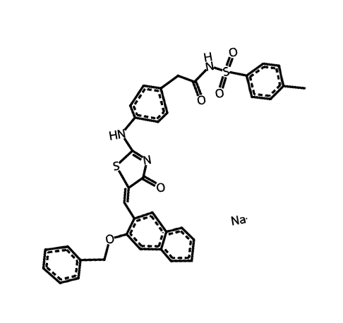 Cc1ccc(S(=O)(=O)NC(=O)Cc2ccc(NC3=NC(=O)C(=Cc4cc5ccccc5cc4OCc4ccccc4)S3)cc2)cc1.[Na]